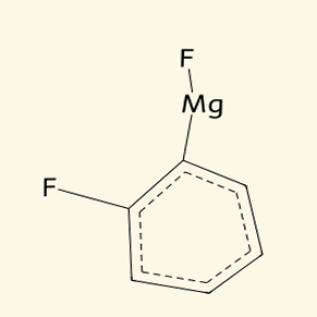 [F][Mg][c]1ccccc1F